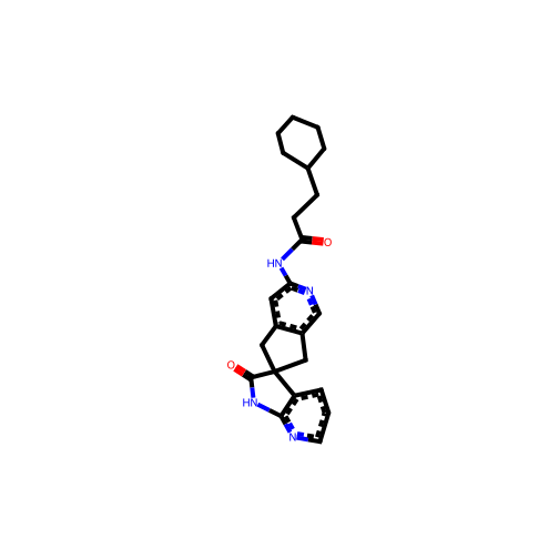 O=C(CCC1CCCCC1)Nc1cc2c(cn1)CC1(C2)C(=O)Nc2ncccc21